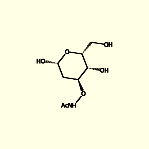 CC(=O)NO[C@H]1C[C@H](O)O[C@H](CO)[C@@H]1O